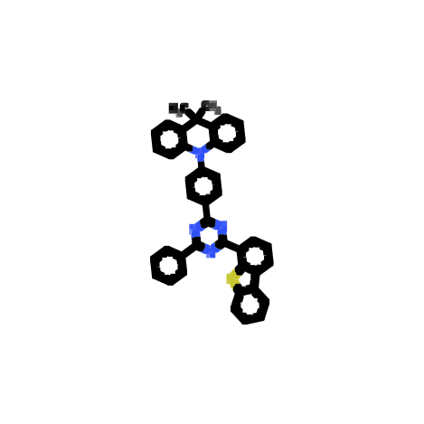 CC1(C)c2ccccc2N(c2ccc(-c3nc(-c4ccccc4)nc(-c4cccc5c4sc4ccccc45)n3)cc2)c2ccccc21